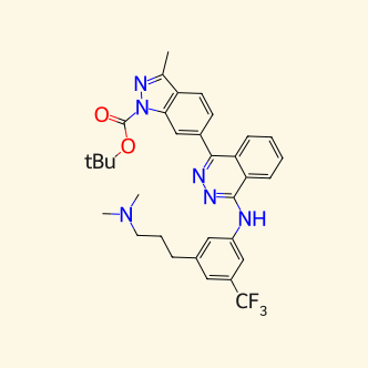 Cc1nn(C(=O)OC(C)(C)C)c2cc(-c3nnc(Nc4cc(CCCN(C)C)cc(C(F)(F)F)c4)c4ccccc34)ccc12